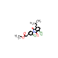 CCOC(=O)Cc1ccc(N2C(=O)c3c(Cl)ccc(CCC(C)C)c3C2=O)c(Cl)c1